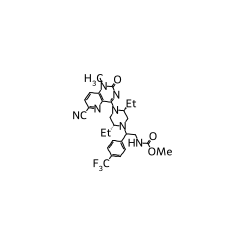 CC[C@H]1CN(C(CNC(=O)OC)c2ccc(C(F)(F)F)cc2)[C@H](CC)CN1c1nc(=O)n(C)c2ccc(C#N)nc12